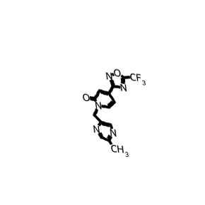 Cc1cnc(Cn2ccc(-c3noc(C(F)(F)F)n3)cc2=O)cn1